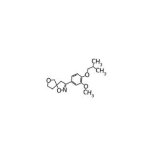 COc1cc(C2=NOC3(CCOC3)C2)ccc1OCC(C)C